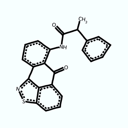 CC(C(=O)Nc1cccc2c1C(=O)c1cccc3snc-2c13)c1ccccc1